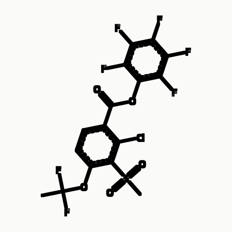 CC(F)(F)Oc1ccc(C(=O)Oc2c(F)c(F)c(F)c(F)c2F)c(Cl)c1S(C)(=O)=O